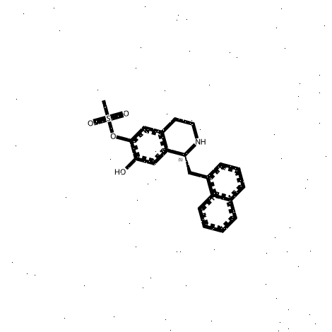 CS(=O)(=O)Oc1cc2c(cc1O)[C@H](Cc1cccc3ccccc13)NCC2